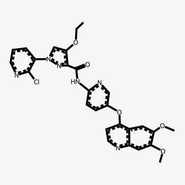 CCOc1cn(-c2cccnc2Cl)nc1C(=O)Nc1ccc(Oc2ccnc3cc(OC)c(OC)cc23)cn1